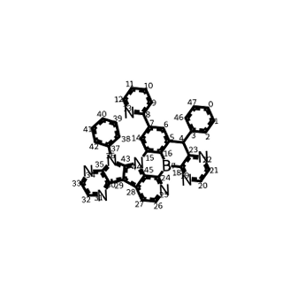 c1ccc(C2c3cc(-c4ccccn4)cc4c3B(c3nccnc32)c2nccc3c5c6nccnc6n(-c6ccccc6)c5n-4c23)cc1